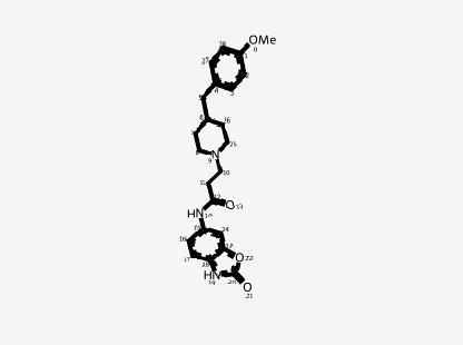 COc1ccc(CC2CCN(CCC(=O)Nc3ccc4[nH]c(=O)oc4c3)CC2)cc1